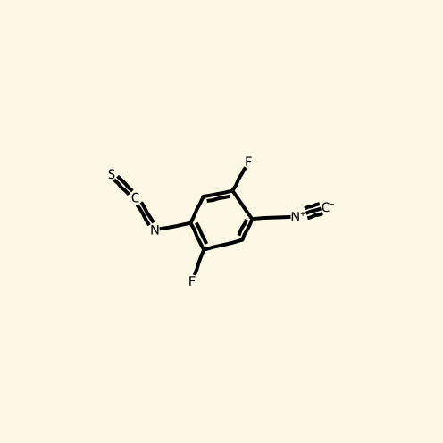 [C-]#[N+]c1cc(F)c(N=C=S)cc1F